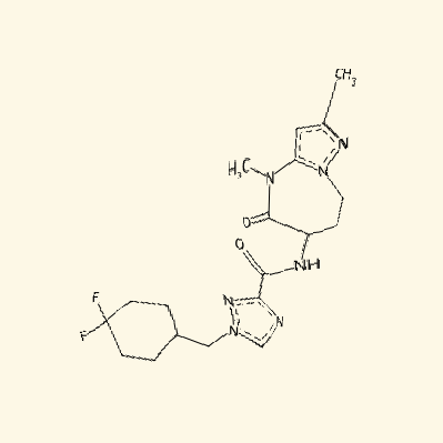 Cc1cc2n(n1)CCC(NC(=O)c1ncn(CC3CCC(F)(F)CC3)n1)C(=O)N2C